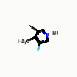 CC(C)c1cncc(F)c1C(=O)O.[LiH]